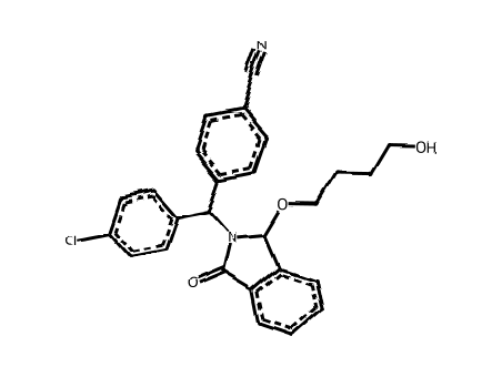 N#Cc1ccc(C(c2ccc(Cl)cc2)N2C(=O)c3ccccc3C2OCCCCO)cc1